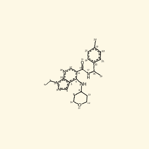 CCn1ncc2c(NC3CCOCC3)c(C(=O)NC(C)c3ccc(C)cc3)cnc21